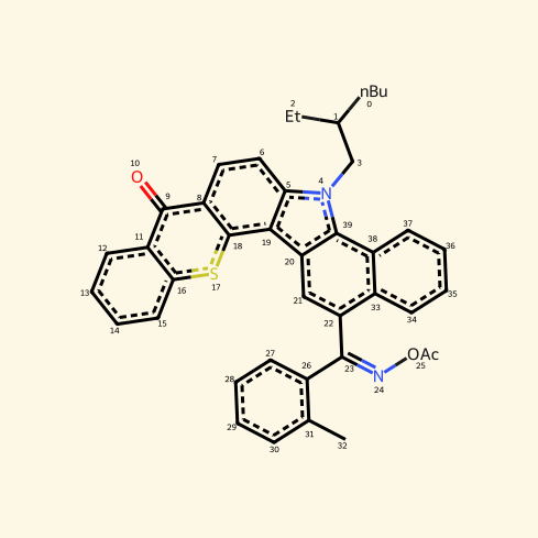 CCCCC(CC)Cn1c2ccc3c(=O)c4ccccc4sc3c2c2cc(/C(=N\OC(C)=O)c3ccccc3C)c3ccccc3c21